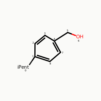 CCCC(C)c1ccc(CO)cc1